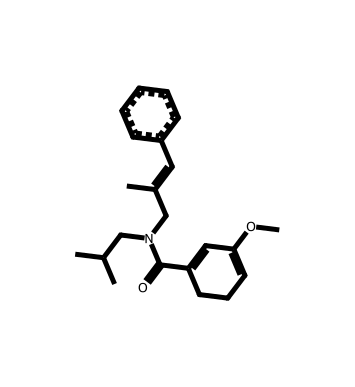 COC1=CCCC(C(=O)N(C/C(C)=C/c2ccccc2)CC(C)C)=C1